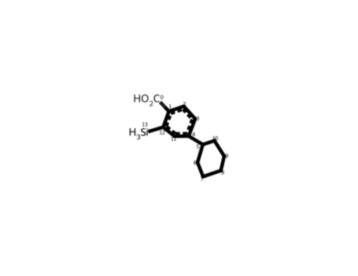 O=C(O)c1ccc(C2CCCCC2)cc1[SiH3]